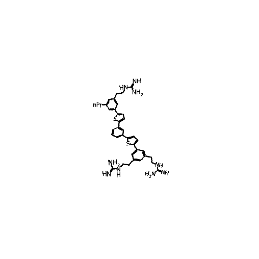 CCCc1cc(CCNC(=N)N)cc(-c2ccc(-c3cccc(-c4ccc(-c5cc(CCNC(=N)N)cc(CCNC(=N)N)c5)s4)c3)s2)c1